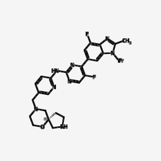 Cc1nc2c(F)cc(-c3nc(Nc4ccc(CN5CCO[C@@]6(CCNC6)C5)cn4)ncc3F)cc2n1C(C)C